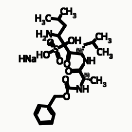 CC(C)CC(N)C(O)(C(=O)[C@H](CC(C)C)NC(=O)[C@H](C)NC(=O)OCc1ccccc1)S(=O)(=O)O.[NaH]